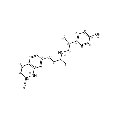 CC(COc1ccc2c(c1)NC(=O)CO2)NCC(O)c1ccc(O)cc1